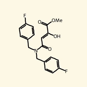 COC(=O)C(O)=CC(=O)N(Cc1ccc(F)cc1)Cc1ccc(F)cc1